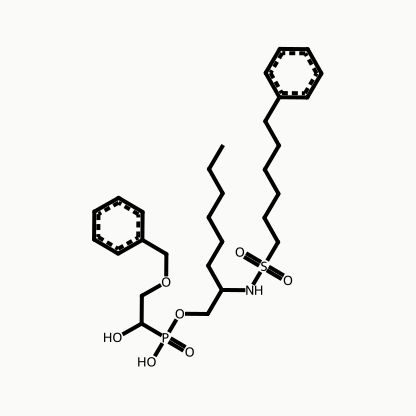 CCCCCCC(COP(=O)(O)C(O)COCc1ccccc1)NS(=O)(=O)CCCCCCc1ccccc1